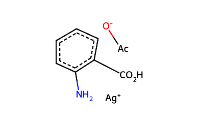 CC(=O)[O-].Nc1ccccc1C(=O)O.[Ag+]